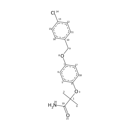 CC(C)(Oc1ccc(OCc2ccc(Cl)cc2)cc1)C(N)=O